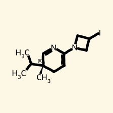 CC(C)[C@]1(C)C=NC(N2CC(I)C2)=CC1